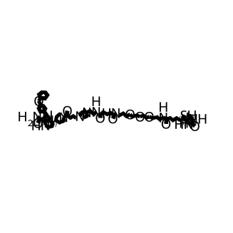 NC(=O)c1c(-c2ccc(Oc3ccccc3)cc2)nn2c1NCC[C@H]2C1CCN(C(=O)CCCN2CCN(CCNC(=O)CCCC(=O)NCCCOCCOCCOCCCNC(=O)CCCC[C@H]3SC[C@H]4NC(=O)N[C@H]43)CC2)CC1